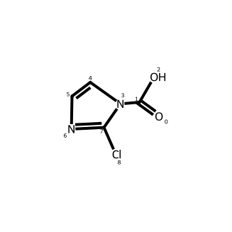 O=C(O)n1ccnc1Cl